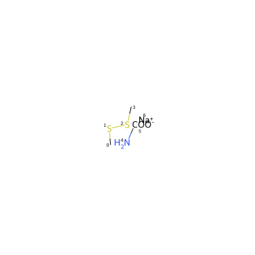 CSSC.NC(=O)[O-].[Na+]